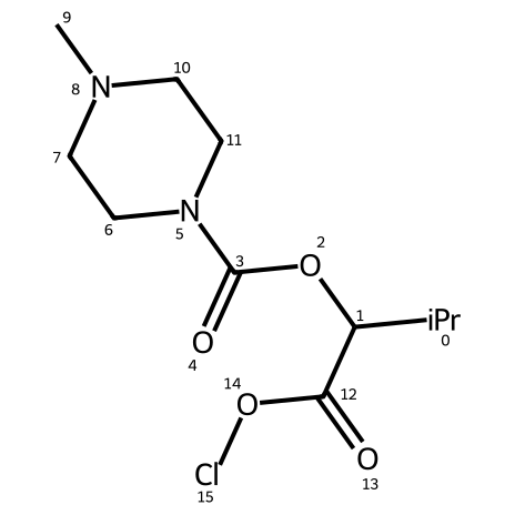 CC(C)C(OC(=O)N1CCN(C)CC1)C(=O)OCl